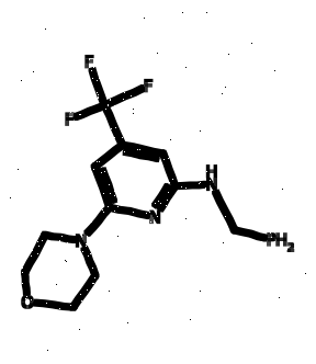 FC(F)(F)c1cc(NCP)nc(N2CCOCC2)c1